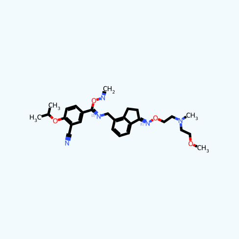 C=NO/C(=N\Cc1cccc2c1CC/C2=N\OCCN(C)CCOC)c1ccc(OC(C)C)c(C#N)c1